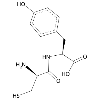 N[C@H](CS)C(=O)N[C@@H](Cc1ccc(O)cc1)C(=O)O